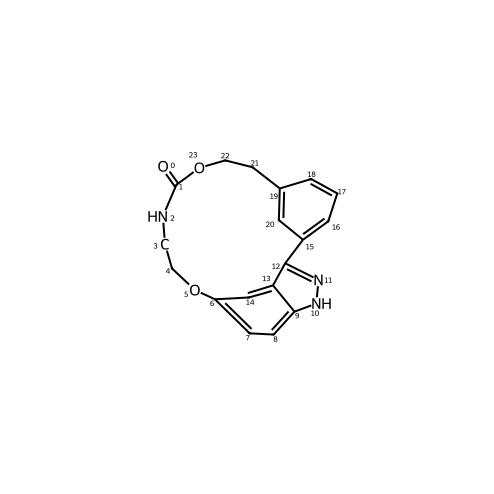 O=C1NCCOc2ccc3[nH]nc(c3c2)-c2cccc(c2)CCO1